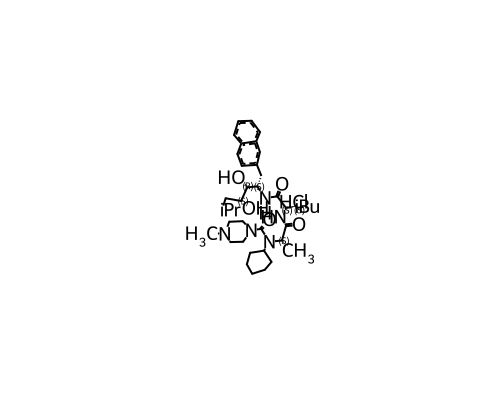 CC[C@H](C)[C@H](NC(=O)[C@H](C)N(C(=O)N1CCN(C)CC1)C1CCCCC1)C(=O)N[C@@H](Cc1ccc2ccccc2c1)[C@@H](O)[C@@H](O)CC(C)C.Cl